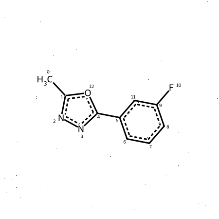 Cc1nnc(-c2cccc(F)c2)o1